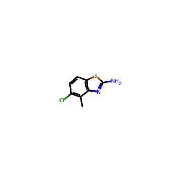 Cc1c(Cl)ccc2sc(N)nc12